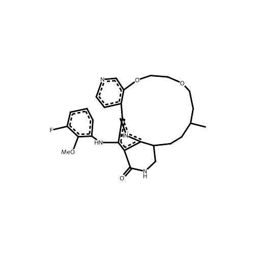 COc1c(F)cccc1Nc1c2[nH]c3c1C(=O)NCC3CCC(C)CCOCCOc1cnccc1-2